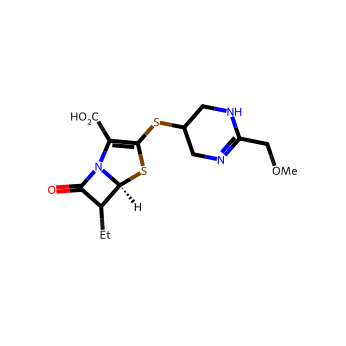 CCC1C(=O)N2C(C(=O)O)=C(SC3CN=C(COC)NC3)S[C@@H]12